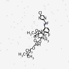 C[C@]1(c2cc(/C=C(\F)c3cnc(Cl)cn3)ccc2F)N=C(OC(=O)NCOCC[Si](C)(C)C)S[C@@]2(S(C)(=O)=O)C[C@H]21